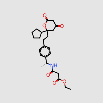 CCOC(=O)CC(=O)N[C@H](C)c1ccc(CCC2(C3CCCC3)CC(=O)CC(=O)O2)cc1